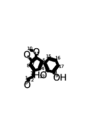 O=CCc1ccc2c(c1)OCO2.Oc1ccccc1O